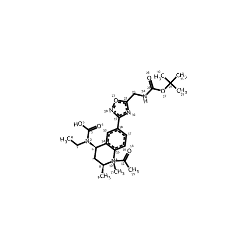 CCN(C(=O)O)[C@@H]1C[C@H](C)[N+](C)(C(C)=O)c2ccc(-c3noc(CNC(=O)OC(C)(C)C)n3)cc21